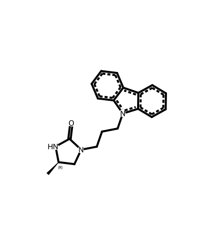 C[C@@H]1CN(CCCn2c3ccccc3c3ccccc32)C(=O)N1